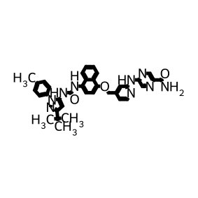 Cc1ccc(-n2nc(C(C)(C)C)cc2NC(=O)Nc2ccc(OCc3ccnc(Nc4cnc(C(N)=O)cn4)c3)c3ccccc23)cc1